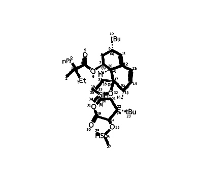 CCCC(C)(CC)C(=O)O[C@H]1C[C@H](C(C)(C)C)C=C2C=C[C@H](C)[C@](CC[C@@H]3C[C@H](C(C)(C)C)C(O[SiH](C)C)C(=O)O3)(O[SiH](C)C)[C@H]21